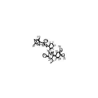 CCC1SC(=O)N(Cc2ccccc2NC(=O)c2sc(C)nc2C)N=C1c1ccc(OC)c(OC)c1